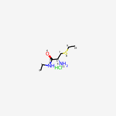 CCNC(=O)[C@@H](N)CSCC.Cl